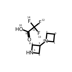 C1CN(C2CNC2)C1.O=C(O)C(F)(F)F